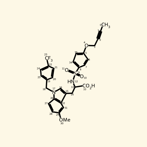 CC#CCOc1ccc(S(=O)(=O)NC(Cc2cn(Cc3ccc(C(F)(F)F)cc3)c3ccc(OC)cc23)C(=O)O)cc1